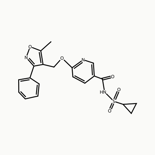 Cc1onc(-c2ccccc2)c1COc1ccc(C(=O)NS(=O)(=O)C2CC2)cn1